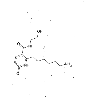 NCCCCCCc1[nH]c(=O)ccc1C(=O)NCCO